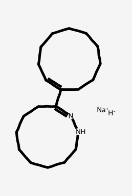 C1=C(C2=NNCCCCCCCC2)CCCCCCCCC1.[H-].[Na+]